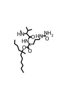 CCCCCCC(C)(CCCC)OC(=O)[C@H](CCCNC(N)=O)NC(=O)C(NC)C(C)C